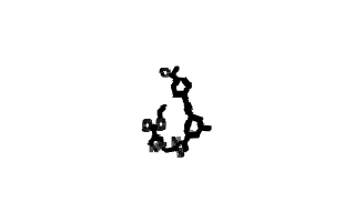 CCOC(=O)c1cnn(Cc2nc(-c3cc(C)cc(C#Cc4ccc(C(C)=O)cc4)c3)cs2)c1